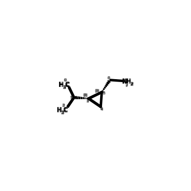 CC(C)[C@H]1C[C@H]1CN